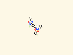 Cc1ccc(S(=O)(=O)NC(Cc2ccc(-c3noc(C4CCCC4)n3)c(F)c2)C(=O)O)cc1F